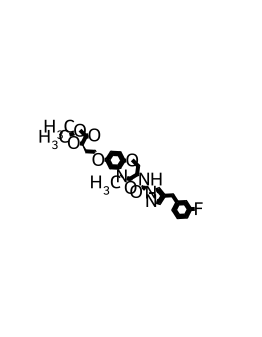 CN1C(=O)[C@@H](NC(=O)n2cc(Cc3cccc(F)c3)cn2)COc2ccc(OCC[C@H]3OC(C)(C)OC3=O)cc21